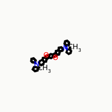 CC1=CC=CCC1N(c1ccccc1)c1ccc2cc3c(cc2c1)oc1cc2c(cc13)oc1cc3c(cc12)C=CC(N(c1ccccc1)c1ccccc1C)C3